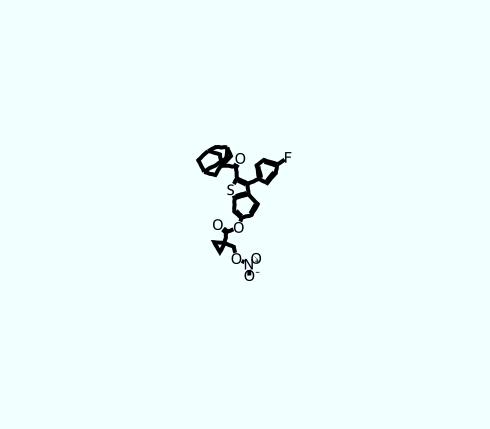 O=C(Oc1ccc2c(-c3ccc(F)cc3)c(C(=O)C34CC5CC(CC(C5)C3)C4)sc2c1)C1(CO[N+](=O)[O-])CC1